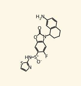 Nc1ccc2c(c1)C(n1c(=O)oc3cc([S+]([O-])Nc4nccs4)c(F)cc31)CCC2